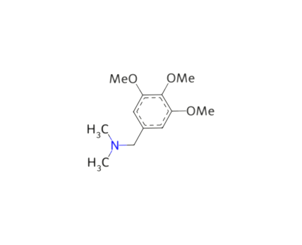 COc1cc(CN(C)C)cc(OC)c1OC